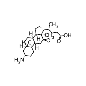 C[C@H](CCC(=O)O)[C@H]1CC[C@H]2[C@@H]3CC[C@@H]4C[C@@H](N)CC[C@]4(C)[C@H]3CC(=O)[C@]12C